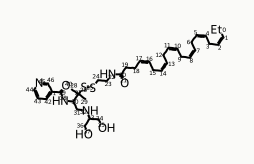 CC/C=C\C/C=C\C/C=C\C/C=C\C/C=C\C/C=C\CCC(=O)NCCSSC(C)(C)C(CNC(CO)CO)NC(=O)c1cccnc1